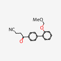 COCOc1ccccc1-c1ccc(C(=O)CCC#N)cc1